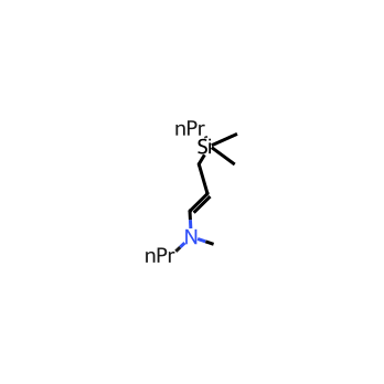 CCCN(C)C=CC[Si](C)(C)CCC